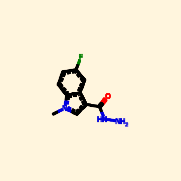 Cn1cc(C(=O)NN)c2cc(F)ccc21